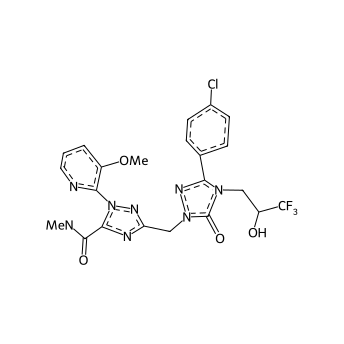 CNC(=O)c1nc(Cn2nc(-c3ccc(Cl)cc3)n(CC(O)C(F)(F)F)c2=O)nn1-c1ncccc1OC